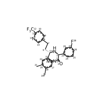 CNC(=O)[C@@H](N[C@@H](CCc1ccc(C(F)(F)F)nc1)c1ccc(F)c(C)c1)c1cccc(F)c1